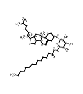 CCCCCCCCCCCCCC(=O)OC[C@H]1O[C@H](OC2CC[C@@]3(C)C(=CCC4C3CC[C@@]3(C)C4CC[C@@H]3[C@H](C)CCCC(C)C)C2)[C@H](O)[C@H](O)[C@H]1O